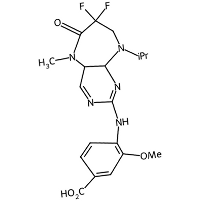 COc1cc(C(=O)O)ccc1NC1=NC2C(C=N1)N(C)C(=O)C(F)(F)CN2C(C)C